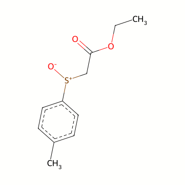 CCOC(=O)C[S+]([O-])c1ccc(C)cc1